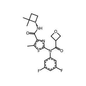 Cc1sc(N(C(=O)C2COC2)c2cc(F)cc(F)c2)nc1C(=O)N[C@@H]1CCC1(C)C